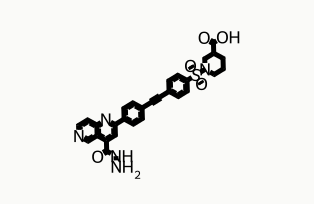 NNC(=O)c1cc(-c2ccc(C#Cc3ccc(S(=O)(=O)N4CCCC(C(=O)O)C4)cc3)cc2)nc2ccncc12